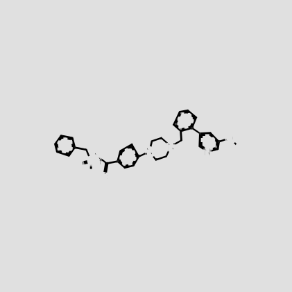 COc1cncc(-c2ccccc2CN2CCN(c3ccc(C(=O)N[SH](C)(=O)Cc4ccccc4)cc3)CC2)c1